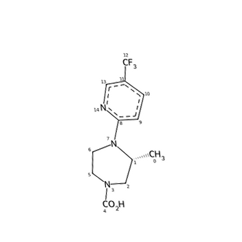 C[C@@H]1CN(C(=O)O)CCN1c1ccc(C(F)(F)F)cn1